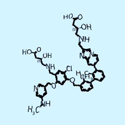 CNc1cncc(COc2cc(OCc3cccc(-c4cccc(-c5ccn6cc(CNC[C@@H](O)CC(=O)O)nc6c5)c4C)c3C)c(Cl)cc2CNC[C@@H](O)CC(=O)O)c1